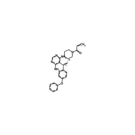 C=CC(=O)N1CCC[C@@H](/C=C(/c2ccc(Oc3ccccc3)cc2)c2c(N)ncnc2N)C1